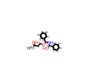 CCC[C@@H](O)CCOC(NC(O)c1ccccc1)c1ccccc1